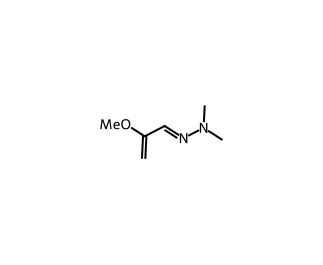 C=C(C=NN(C)C)OC